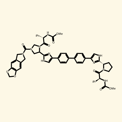 COC(=O)N[C@H](C(=O)N1CN(C(=O)N2Cc3cc4c(cc3C2)OCO4)CC1c1nc(-c2ccc(-c3ccc(-c4c[nH]c([C@@H]5CCCN5C(=O)[C@@H](NC(=O)OC)C(C)C)n4)cc3)cc2)c[nH]1)C(C)C